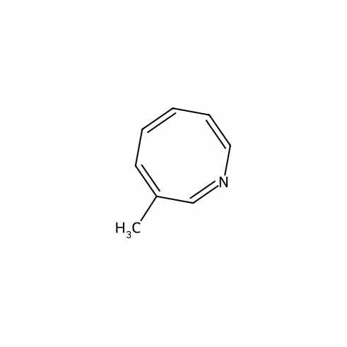 CC1=CC=CC=CN=C1